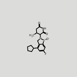 CC1CC(=O)NC(=O)C1N1Cc2c(C3CCCC3)cc(F)cc2[S+]1[O-]